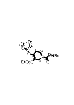 CCOC(=O)C1=C(OP(OCC)OCC)CCN(C(=O)OC(C)(C)C)C1